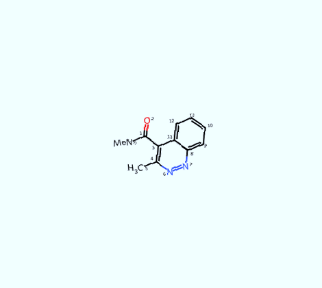 CNC(=O)c1c(C)nnc2ccccc12